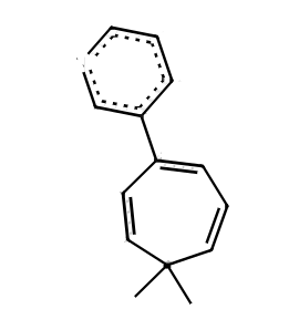 CC1(C)C=CC=C(c2cccnc2)C=C1